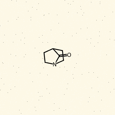 O=C1C2CCN1CC2